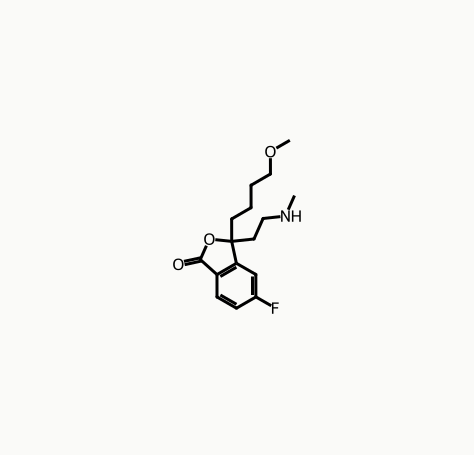 CNCCC1(CCCCOC)OC(=O)c2ccc(F)cc21